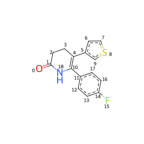 O=C1CCC(c2ccsc2)=C(c2ccc(F)cc2)N1